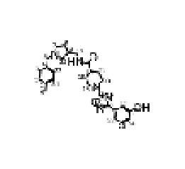 Cc1ccc(CN2CCC(CNC(=O)C3CCN(c4nc(-c5cccc(O)c5)no4)CC3)C2)cc1